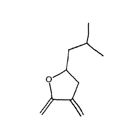 C=C1CC(CC(C)C)OC1=C